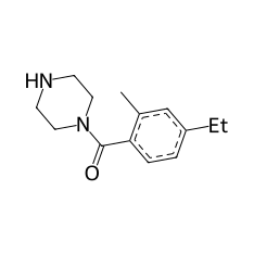 CCc1ccc(C(=O)N2CCNCC2)c(C)c1